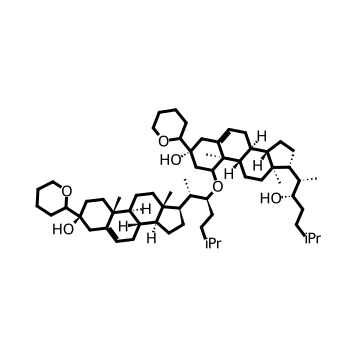 CC(C)CC[C@H](OC1C[C@@](O)(C2CCCCO2)CC2=CC[C@H]3[C@@H]4CC[C@H]([C@H](C)[C@@H](O)CCC(C)C)[C@@]4(C)CC[C@@H]3[C@]21C)[C@@H](C)[C@H]1CC[C@H]2[C@@H]3CC=C4C[C@](O)(C5CCCCO5)CC[C@]4(C)[C@H]3CC[C@]12C